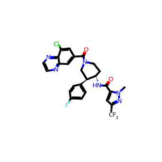 Cn1nc(C(F)(F)F)cc1C(=O)N[C@H]1CCN(C(=O)c2cc(Cl)c3nccnc3c2)C[C@@H]1c1ccc(F)cc1